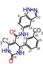 CC1=C(C(=O)Nc2ccc3[nH]ncc3c2)C(c2cccc(C(=O)O)c2)NC(=O)N1